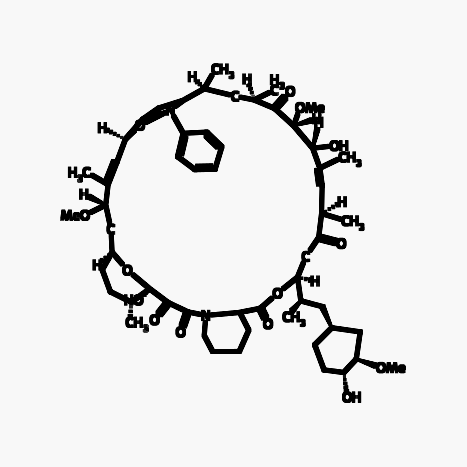 CO[C@H]1C[C@@H]2CC[C@@H](C)[C@@](O)(O2)C(=O)C(=O)N2CCCCC2C(=O)O[C@H]([C@H](C)C[C@@H]2CC[C@@H](O)[C@H](OC)C2)CC(=O)[C@H](C)/C=C(\C)[C@@H](O)[C@@H](OC)C(=O)[C@H](C)C[C@H](C)C2C=C[C@H](/C=C/1C)ON2c1ccccc1